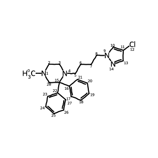 CN1CCN(CCCCn2cc(Cl)cn2)C(c2ccccc2)(c2ccccc2)C1